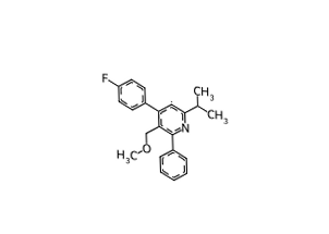 COCc1c(-c2ccc(F)cc2)[c]c(C(C)C)nc1-c1ccccc1